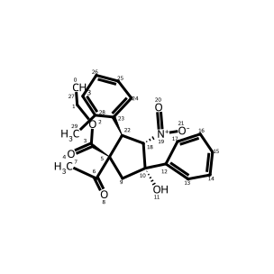 CCOC(=O)[C@]1(C(C)=O)C[C@](O)(c2ccccc2)[C@@H]([N+](=O)[O-])[C@@H]1c1ccccc1C